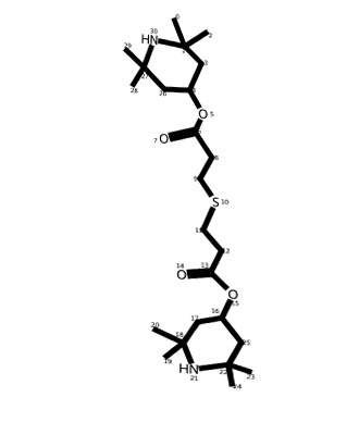 CC1(C)CC(OC(=O)CCSCCC(=O)OC2CC(C)(C)NC(C)(C)C2)CC(C)(C)N1